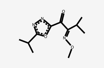 CON=C(C(=O)c1nnc(C(C)C)o1)C(C)C